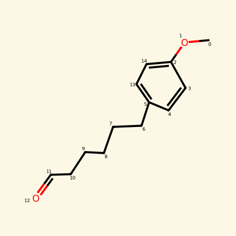 COc1ccc(CCCCCC=O)cc1